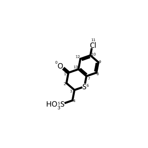 O=C1CC(CS(=O)(=O)O)Sc2ccc(Cl)cc21